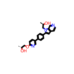 C[C@@H](O)COc1ccc(-c2ccc(-c3cc4ccncc4n3C[C@@H](C)O)cc2)cn1